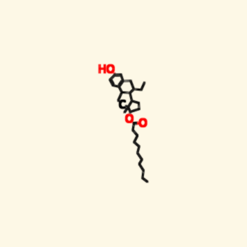 CCCCCCCCCCC(=O)OC1CCC2C3C(CC)Cc4cc(O)ccc4C3CCC12C